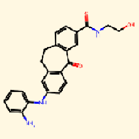 Nc1ccccc1Nc1ccc2c(c1)CCc1ccc(C(=O)NCCO)cc1C2=O